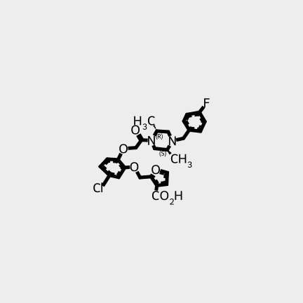 C[C@@H]1CN(Cc2ccc(F)cc2)[C@@H](C)CN1C(=O)COc1ccc(Cl)cc1OCc1occc1C(=O)O